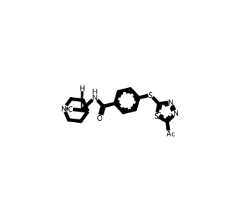 CC(=O)c1nnc(Sc2ccc(C(=O)N[C@H]3CN4CCC3CC4)cc2)s1